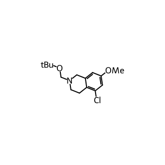 COc1cc(Cl)c2c(c1)CN(COC(C)(C)C)CC2